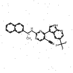 C[C@@H](Nc1ncc(C#N)c(-c2c[nH]c3ncc(C(F)(F)F)cc23)n1)c1ccc2ccccc2c1